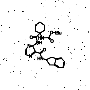 CC(C)(C)OC(=O)NC1(C(=O)Nc2nccnc2C(=O)NC2Cc3ccccc3C2)CCCCC1